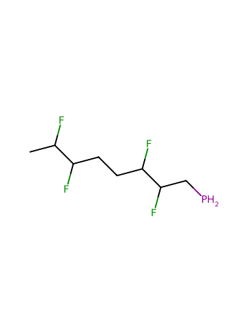 CC(F)C(F)CCC(F)C(F)CP